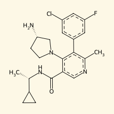 Cc1ncc(C(=O)N[C@@H](C)C2CC2)c(N2CC[C@H](N)C2)c1-c1cc(F)cc(Cl)c1